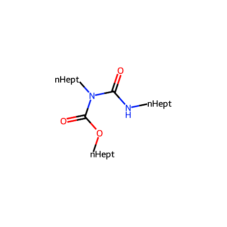 CCCCCCCNC(=O)N(CCCCCCC)C(=O)OCCCCCCC